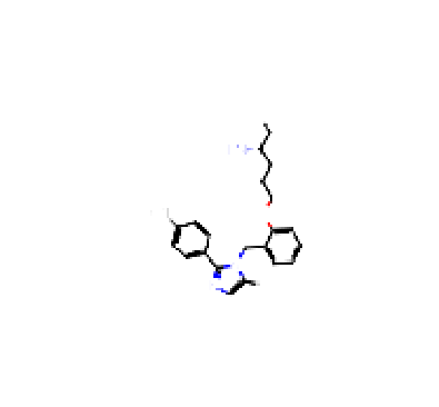 CCOC(=O)C[C@H](N)CCCOc1ccccc1Cn1c(C(F)(F)F)cnc1-c1ccc(NC(F)(F)F)cc1